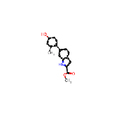 COC(=O)c1cc2ccc(-c3ccc(O)cc3C)cc2[nH]1